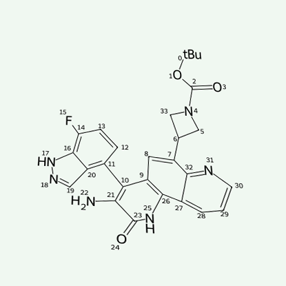 CC(C)(C)OC(=O)N1CC(c2cc3c(-c4ccc(F)c5[nH]ncc45)c(N)c(=O)[nH]c3c3cccnc23)C1